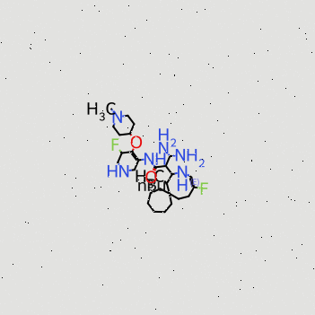 CCCCC1(C)C(C(C(=O)NC2=C(OC3CCN(C)CC3)C(F)CNC2)C(N)N)N/C=C(/F)CCC12CCCCCC2